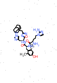 Cc1cc(O)cc(C)c1C[C@H](NC(=O)[C@H](N)CCCn1ccnc1N)C(=O)N[C@@H](Cc1c[nH]cn1)c1nc(CC23CC4CC(CC(C4)C2)C3)no1